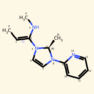 C/C=C(\NC)N1C=CN(c2ccccn2)[C@@H]1C